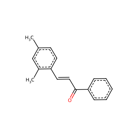 Cc1ccc(C=CC(=O)c2ccccc2)c(C)c1